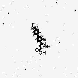 O=C(O)CCC(=NO)c1ccc(-c2ccc(C(F)(F)F)cc2)cc1F